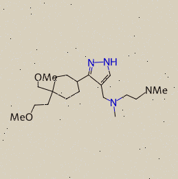 CNCCN(C)Cc1c[nH]nc1C1CCC(CCOC)(COC)CC1